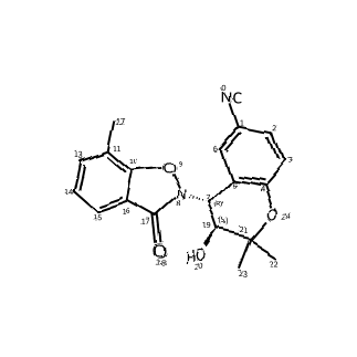 [C-]#[N+]c1ccc2c(c1)[C@@H](n1oc3c(C)cccc3c1=O)[C@H](O)C(C)(C)O2